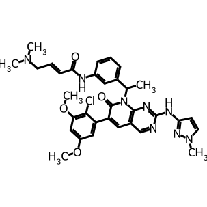 COc1cc(OC)c(Cl)c(-c2cc3cnc(Nc4ccn(C)n4)nc3n(C(C)c3cccc(NC(=O)/C=C/CN(C)C)c3)c2=O)c1